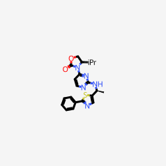 CC(C)C1COC(=O)N1c1ccnc(N[C@@H](C)c2cnc(-c3ccccc3)s2)n1